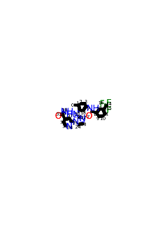 Cc1ccc(NC(=O)c2cccc(C(F)(F)F)c2)cc1Nc1nccn1-c1cc(C(N)=O)ccn1